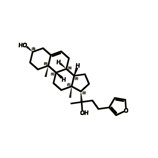 CC(O)(CCc1ccoc1)[C@H]1CC[C@H]2[C@@H]3CC=C4C[C@@H](O)CC[C@]4(C)[C@H]3CC[C@]12C